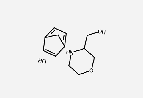 C1=CC2=CC=C1C2.Cl.OCC1COCCN1